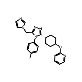 Clc1ccc(-n2c(Cn3ccnc3)nnc2[C@H]2CC[C@H](Oc3ccccn3)CC2)cc1